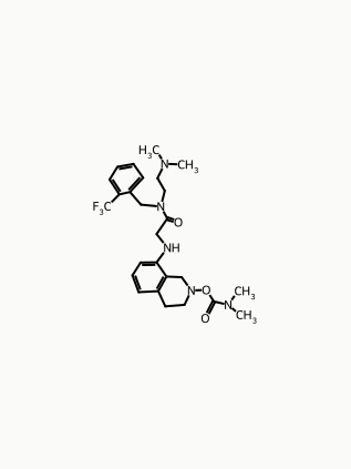 CN(C)CCN(Cc1ccccc1C(F)(F)F)C(=O)CNc1cccc2c1CN(OC(=O)N(C)C)CC2